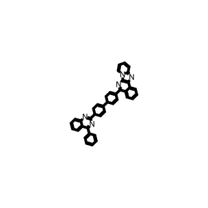 C1=CC(C2=CCC(c3nc(-c4ccccc4)c4ccccc4n3)C=C2)CC=C1c1nc2c(nc3ccccn32)c2ccccc12